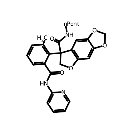 CCCCCNC(=O)C1(c2c(C)cccc2C(=O)Nc2ccccn2)COc2cc3c(cc21)OCO3